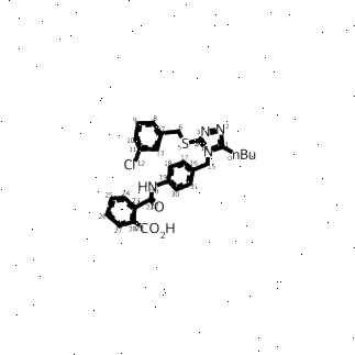 CCCCc1nnc(SCc2cccc(Cl)c2)n1Cc1ccc(NC(=O)c2ccccc2C(=O)O)cc1